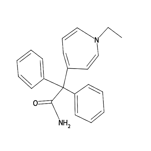 CCN1C=CC=C(C(C(N)=O)(c2ccccc2)c2ccccc2)C=C1